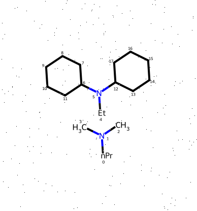 [CH2]CCN(C)C.[CH2]CN(C1CCCCC1)C1CCCCC1